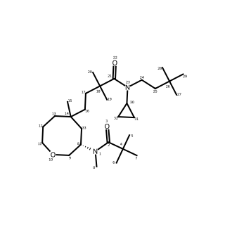 CN(C(=O)C(C)(C)C)[C@@H]1COCCCC(C)(CCC(C)(C)C(=O)N(CCC(C)(C)C)C2CC2)C1